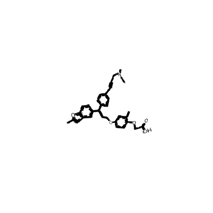 Cc1cc2cc(C(=CCOc3ccc(OCC(=O)O)c(C)c3)c3ccc(C#CCN(C)C)cc3)ccc2o1